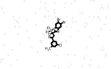 CCS1(CC)n2c(nc3cc(Br)c(Br)cc32)C12CC(c1cc(C)cc(Cl)c1)=NO2